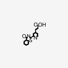 O=C(O)C=Cc1ccnc(-c2nc(=O)c3ccccc3s2)c1